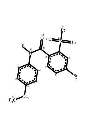 CCS(=O)(=O)c1cc(Br)ccc1C(=O)N(C)c1ccc(SC(F)(F)F)cc1